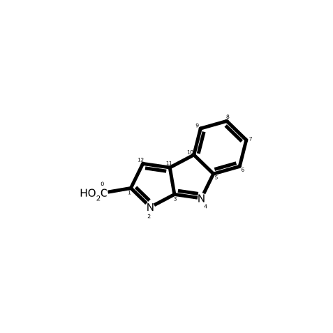 O=C(O)C1=NC2=Nc3ccccc3C2=C1